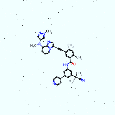 Cc1cc(C)c(C(=O)Nc2cc(-c3ccncc3)cc(C(C)(C)C#N)c2)cc1C#Cc1cnc2c(N(C)c3cnn(C)c3)cccn12